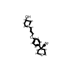 N#CC1(c2ccc(OCCCN3CC[C@@H](O)C3)cc2)CCOCC1